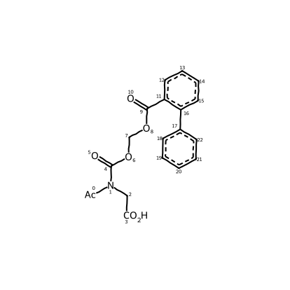 CC(=O)N(CC(=O)O)C(=O)OCOC(=O)c1ccccc1-c1ccccc1